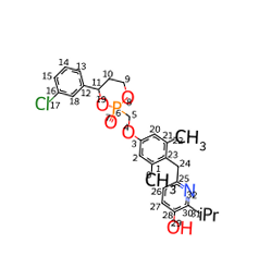 Cc1cc(OCP2(=O)OCCC(c3cccc(Cl)c3)O2)cc(C)c1Cc1ccc(O)c(C(C)C)n1